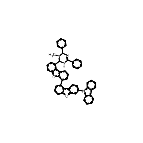 CN1C(c2ccccc2)N=C(c2ccccc2)NC1c1cccc2oc3c(-c4cccc5oc6cc(-n7c8ccccc8c8ccccc87)ccc6c45)cccc3c12